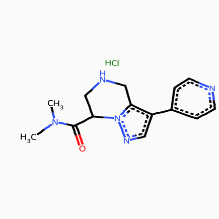 CN(C)C(=O)C1CNCc2c(-c3ccncc3)cnn21.Cl